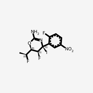 C[C@H](F)[C@H]1OC(N)=N[C@](I)(c2cc([N+](=O)[O-])ccc2F)[C@H]1F